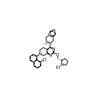 CCN1CCC[C@H]1COc1nc2c(c(N3Cc4cncn4C[C@H]3C)n1)CCN(c1cccc3cccc(Cl)c13)C2